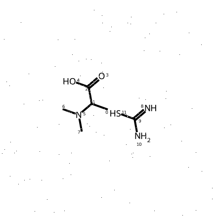 CC(C(=O)O)N(C)C.N=C(N)S